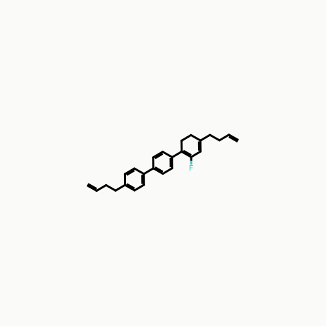 C=CCCC1=CC(F)=C(c2ccc(-c3ccc(CCC=C)cc3)cc2)CC1